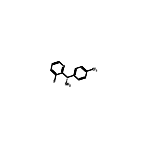 N[C@@H](c1ccc(C(F)(F)F)cc1)c1ncccc1F